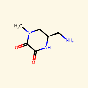 CN1C[C@@H](CN)NC(=O)C1=O